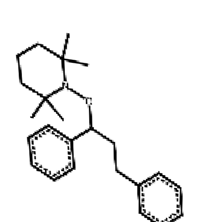 CC1(C)CCCC(C)(C)N1OC(CCc1ccccc1)c1ccccc1